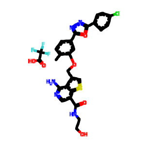 Cc1ccc(-c2nnc(-c3ccc(Cl)cc3)o2)cc1OCc1csc2c(C(=O)NCCO)cnc(N)c12.O=C(O)C(F)(F)F